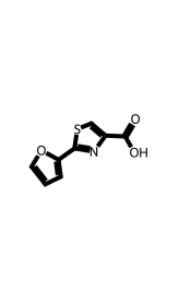 O=C(O)c1csc(-c2ccco2)n1